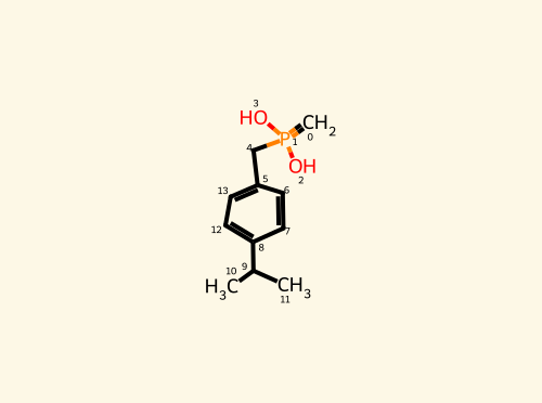 C=P(O)(O)Cc1ccc(C(C)C)cc1